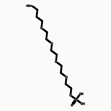 CCCCCCCCCCCCCOCCOCCOCCOCCOP(=O)(O)O